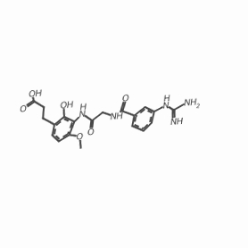 COc1ccc(CCC(=O)O)c(O)c1NC(=O)CNC(=O)c1cccc(NC(=N)N)c1